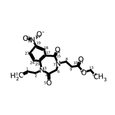 C=CCN1C(=O)CN(CCC(=O)OCC)C(=O)c2cc([N+](=O)[O-])ccc21